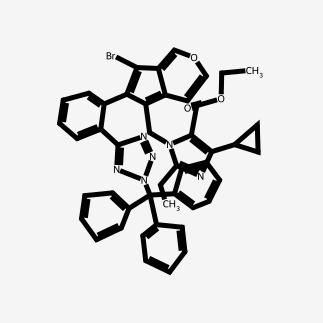 CCOC(=O)c1c(C2CC2)nc(CC)n1Cc1c2ccocc-2c(Br)c1-c1ccccc1-c1nnn(C(c2ccccc2)(c2ccccc2)c2ccccc2)n1